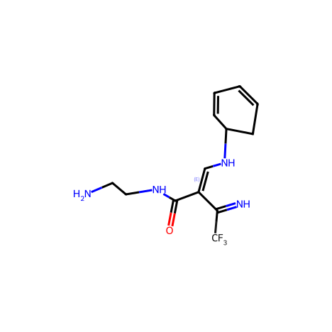 N=C(/C(=C\NC1C=CC=CC1)C(=O)NCCN)C(F)(F)F